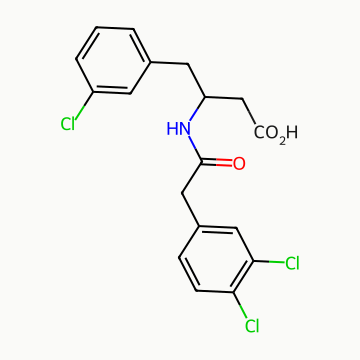 O=C(O)CC(Cc1cccc(Cl)c1)NC(=O)Cc1ccc(Cl)c(Cl)c1